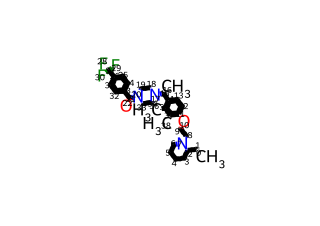 CCC1CCCCN1CCOc1ccc(C(C)N2CCN(C(=O)c3ccc(C(F)(F)F)cc3)CC2)c(C)c1C